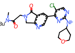 CN(C(=O)CN1Cc2ncc(-c3nc(NC4CCOCC4)ncc3Cl)cc2C1=O)C(C)(C)C